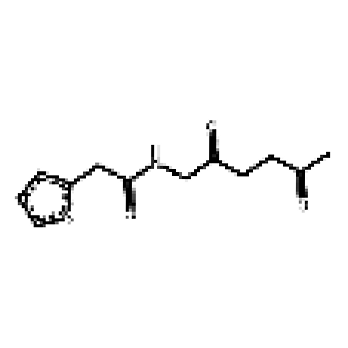 CC(=O)CCC(=O)CNC(=O)Cc1cccs1